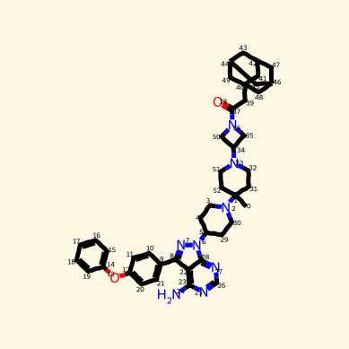 CC1(N2CCC(n3nc(-c4ccc(Oc5ccccc5)cc4)c4c(N)ncnc43)CC2)CCN(C2CN(C(=O)CC34CC5CC(CC(C5)C3)C4)C2)CC1